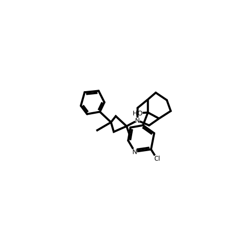 CC1(c2ccccc2)CC(C)(N2CC3CCCC(C2)C3(O)c2ccnc(Cl)c2)C1